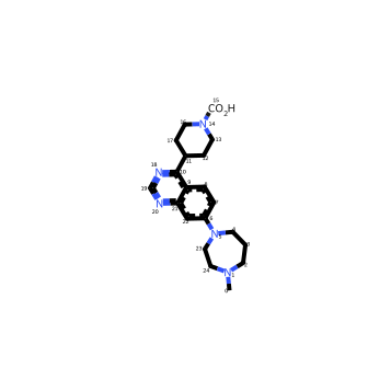 CN1CCCN(c2ccc3c(C4CCN(C(=O)O)CC4)ncnc3c2)CC1